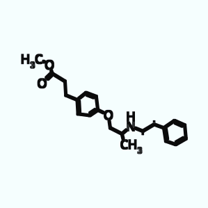 COC(=O)CCc1ccc(OCC(C)N[CH][CH]c2ccccc2)cc1